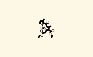 CCOC(=O)Cc1c(C(=O)OCC)c(C)c(C(=O)c2[nH]ccc2C)n1C